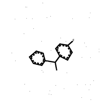 CC(c1ccccc1)c1ccc(F)cc1